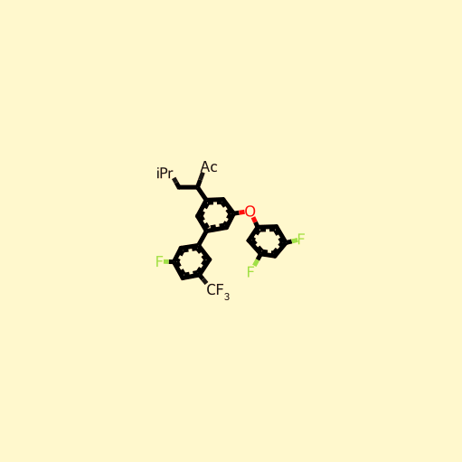 CC(=O)C(CC(C)C)c1cc(Oc2cc(F)cc(F)c2)cc(-c2cc(F)cc(C(F)(F)F)c2)c1